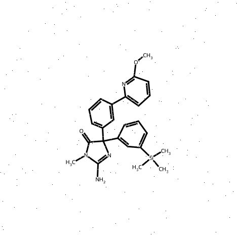 COc1cccc(-c2cccc(C3(c4cccc([Si](C)(C)C)c4)N=C(N)N(C)C3=O)c2)n1